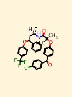 C[C@@H](C[C@H](Oc1ccc(C(F)(F)F)cc1)c1ccccc1)NC(=O)C(C)(C)Oc1ccc(C(=O)c2ccc(Cl)cc2)cc1